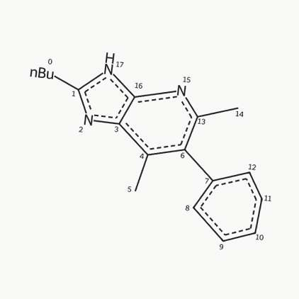 CCCCc1nc2c(C)c(-c3ccccc3)c(C)nc2[nH]1